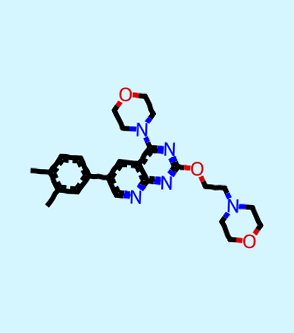 Cc1ccc(-c2cnc3nc(OCCN4CCOCC4)nc(N4CCOCC4)c3c2)cc1C